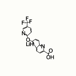 O=C(O)c1ccc2cc(Oc3ccc(C(F)(F)F)cn3)ccc2n1.[LiH]